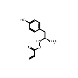 C=CC(=O)ON[C@@H](Cc1ccc(O)cc1)C(=O)O